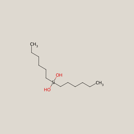 CCCCCC[Si](O)(O)CCCCCC